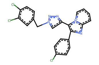 Clc1ccc(-c2nc3ccccn3c2-c2cn(Cc3ccc(Cl)c(Cl)c3)nn2)cc1